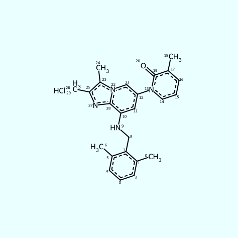 Cc1cccc(C)c1CNc1cc(-n2cccc(C)c2=O)cn2c(C)c(C)nc12.Cl